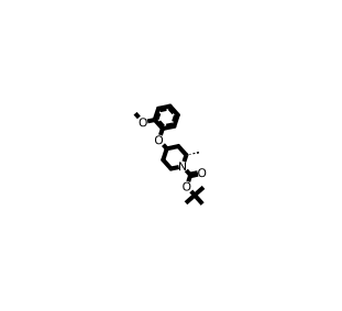 COc1ccccc1OC1CCN(C(=O)OC(C)(C)C)[C@@H](C)C1